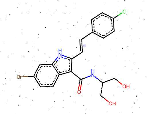 O=C(NC(CO)CO)c1c(/C=C/c2ccc(Cl)cc2)[nH]c2cc(Br)ccc12